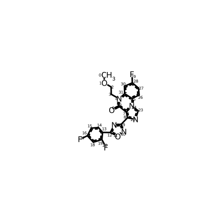 COCCn1c(=O)c2c(-c3noc(-c4ccc(F)cc4F)n3)ncn2c2ccc(F)cc21